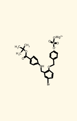 CC(C)(C)OC(=O)c1ccc(NCc2cc(Br)ccc2OCc2ccccc2)cc1.O=S(=O)([O-])[O-].[Mg+2]